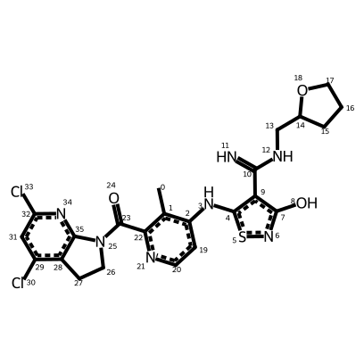 Cc1c(Nc2snc(O)c2C(=N)NCC2CCCO2)ccnc1C(=O)N1CCc2c(Cl)cc(Cl)nc21